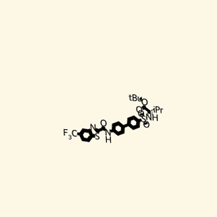 CC(C)[C@H](NS(=O)(=O)c1ccc(-c2ccc(NC(=O)c3nc4cc(C(F)(F)F)ccc4s3)cc2)cc1)C(=O)OC(C)(C)C